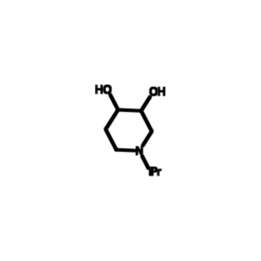 CC(C)N1CCC(O)C(O)C1